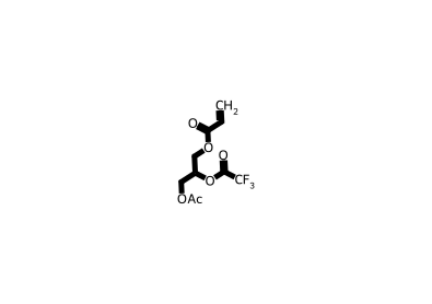 C=CC(=O)OCC(COC(C)=O)OC(=O)C(F)(F)F